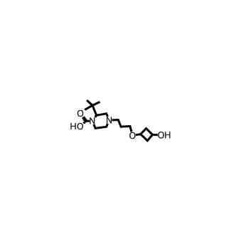 CC(C)(C)C1CN(CCCOC2CC(O)C2)CCN1C(=O)O